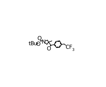 CC(C)(C)OC(=O)N1CC(C)(C(=O)c2ccc(CC(F)(F)F)cc2)C1